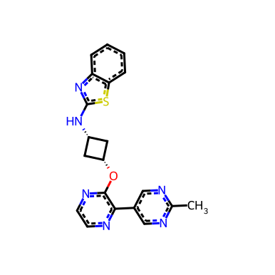 Cc1ncc(-c2nccnc2O[C@H]2C[C@@H](Nc3nc4ccccc4s3)C2)cn1